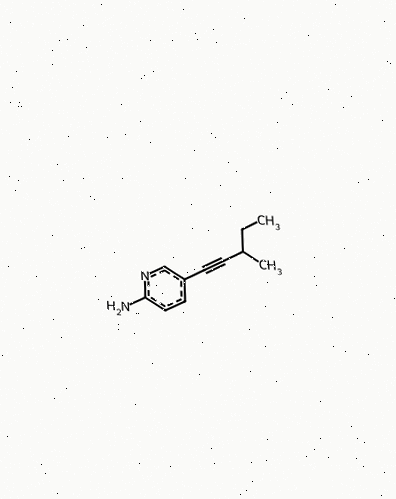 CCC(C)C#Cc1ccc(N)nc1